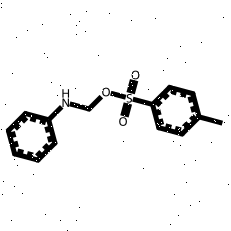 Cc1ccc(S(=O)(=O)OCNc2ccccc2)cc1